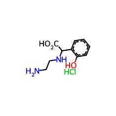 Cl.NCCNC(C(=O)O)c1ccccc1O